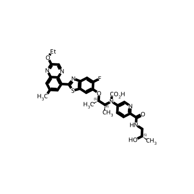 CCOc1cnc2c(-c3nc4cc(F)c(O[C@@H](C)[C@@H](C)N(C(=O)O)c5ccc(C(=O)NC[C@H](C)O)nc5)cc4s3)cc(C)cc2n1